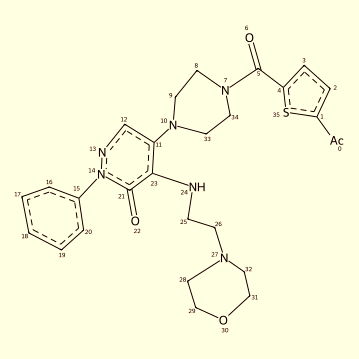 CC(=O)c1ccc(C(=O)N2CCN(c3cnn(-c4ccccc4)c(=O)c3NCCN3CCOCC3)CC2)s1